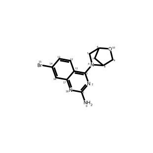 Nc1nc(N2CC3CC2CO3)c2ccc(Br)cc2n1